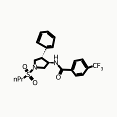 CCCS(=O)(=O)N1C[C@H](NC(=O)c2ccc(C(F)(F)F)cc2)[C@@H](c2ccccc2)C1